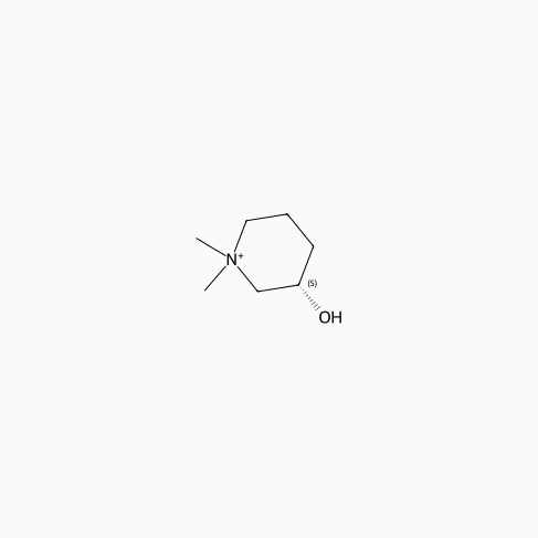 C[N+]1(C)CCC[C@H](O)C1